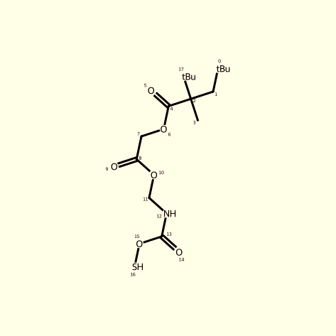 CC(C)(C)CC(C)(C(=O)OCC(=O)OCNC(=O)OS)C(C)(C)C